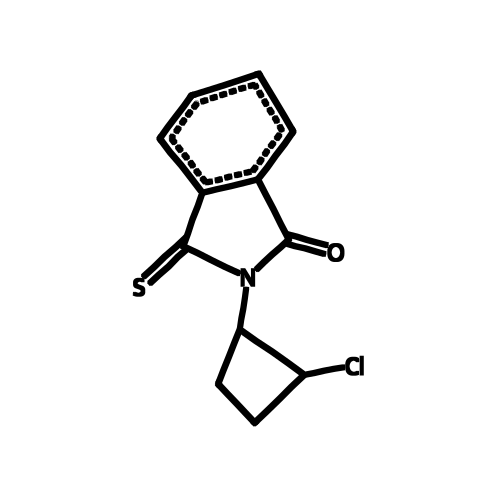 O=C1c2ccccc2C(=S)N1C1CCC1Cl